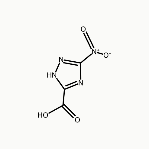 O=C(O)c1nc([N+](=O)[O-])n[nH]1